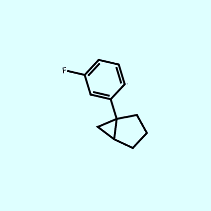 Fc1cc[c]c(C23CCCC2C3)c1